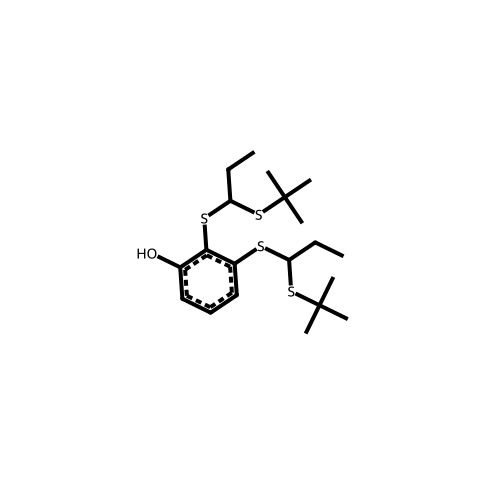 CCC(Sc1cccc(O)c1SC(CC)SC(C)(C)C)SC(C)(C)C